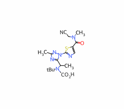 Cc1nc(C(C)N(C(=O)O)C(C)(C)C)n(-c2ncc(C(=O)N(C)CC#N)s2)n1